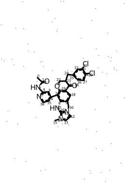 CC(=O)Nc1cc(-c2cc(Cn3ccn(C)c3=N)cc3c2OCC(Cc2ccc(Cl)c(Cl)c2)C3=O)ccn1